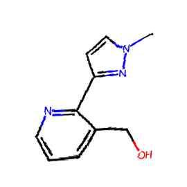 Cn1ccc(-c2ncccc2CO)n1